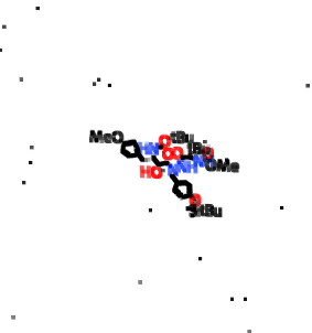 COC(=O)NC(C(=O)NN(Cc1ccc(O[Si](C)(C)C(C)(C)C)cc1)C[C@H](O)[C@H](Cc1ccc(OC)cc1)NC(=O)OC(C)(C)C)C(C)(C)C